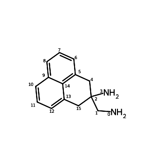 NCC1(N)Cc2cccc3cccc(c23)C1